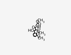 COC(=O)CNC(=O)c1c(O)c2cccc(OC)c2n(C)c1=O